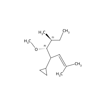 CC[C@H](C)[C@@H](OC)C(C=C(C)C)C1CC1